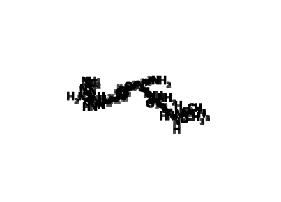 CC(C)(C)OC(=O)NC(=N)NCCCC[C@H](N)C(=O)NCCCN(CCCN)CCOc1ccc(CCCCNC(=N)NC(=O)c2nc(Cl)c(N)nc2N)cc1